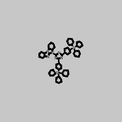 c1ccc([Si](c2ccccc2)(c2ccccc2)c2ccc(-c3nc(-c4ccc([Si](c5ccccc5)(c5ccccc5)c5ccccc5)cc4)nc(-n4c5ccccc5n5c6ccccc6nc45)n3)cc2)cc1